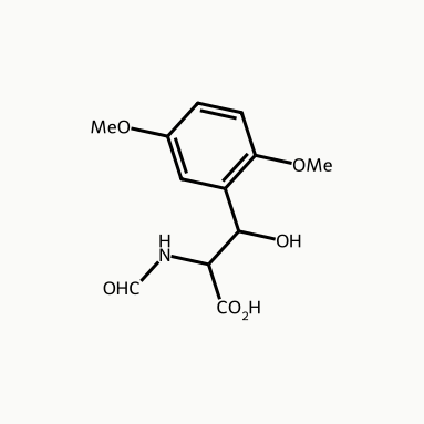 COc1ccc(OC)c(C(O)C(NC=O)C(=O)O)c1